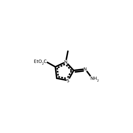 CCOC(=O)c1csc(=NN)n1C